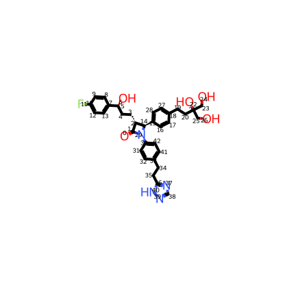 O=C1[C@H](CC[C@H](O)c2ccc(F)cc2)[C@@H](c2ccc(CCC(O)(CO)CO)cc2)N1c1ccc(CCc2ncn[nH]2)cc1